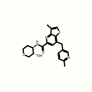 Cc1ccc(Cc2cc(C(=O)N[C@@H]3CCOC[C@H]3O)nc3c(C)csc23)cn1